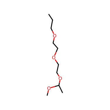 CCCOCCOCCOC(C)OC